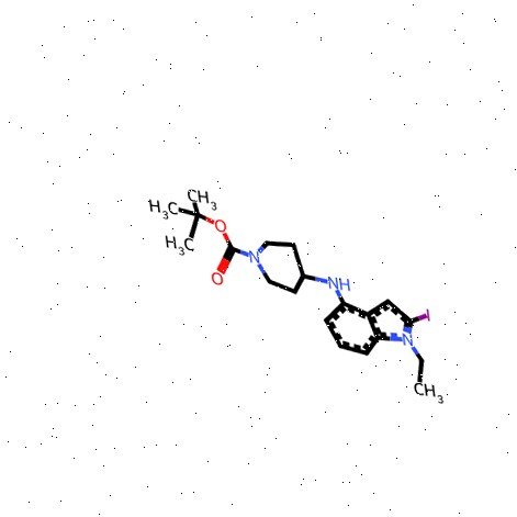 CCn1c(I)cc2c(NC3CCN(C(=O)OC(C)(C)C)CC3)cccc21